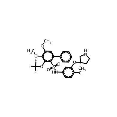 COc1cc(-c2ccccc2)c(S(=O)(=O)Nc2ccc(Cl)c(O[C@]3(C)CCNC3)c2)c(OC(F)(F)F)c1OC